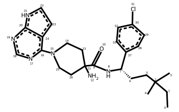 CCC(C)(C)CC[C@H](NC(=O)C1(N)CCN(c2ncnc3[nH]ccc23)CC1)c1ccc(Cl)cc1